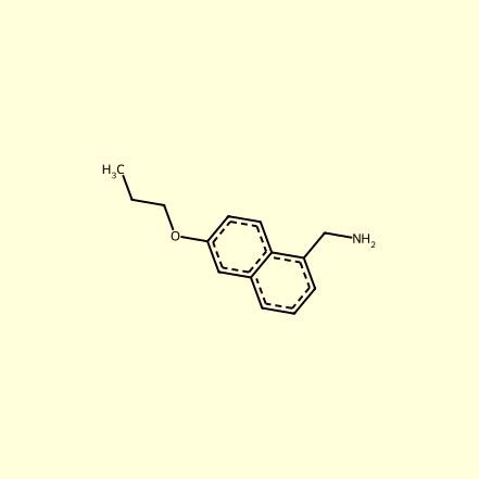 CCCOc1ccc2c(CN)cccc2c1